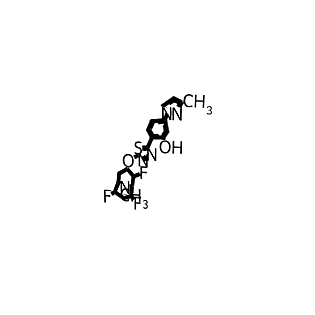 Cc1ccn(-c2ccc(-c3nnc(OC4CC5C(F)CC(F)C(C4F)N5C)s3)c(O)c2)n1